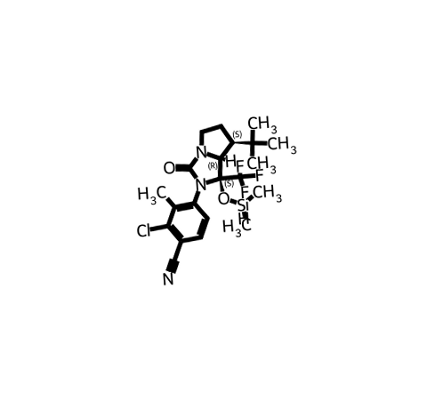 Cc1c(N2C(=O)N3CC[C@@H](C(C)(C)C)[C@@H]3[C@]2(O[SiH](C)C)C(F)(F)F)ccc(C#N)c1Cl